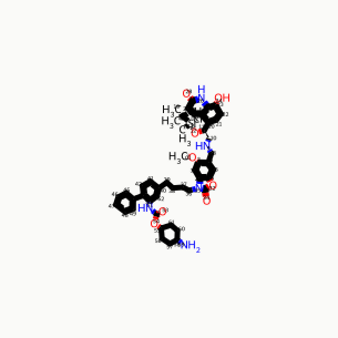 COc1cc2c(cc1CNC[C@H](O[Si](C)(C)C(C)(C)C)c1ccc(O)c3[nH]c(=O)ccc13)oc(=O)n2CCCCc1ccc(-c2ccccc2)c(NC(=O)OC2CCC(N)CC2)c1